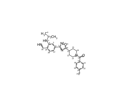 CC(C)Nc1cc(-c2noc(C3CCN(C(=O)c4ccc(F)cc4)CC3)n2)ccc1C=N